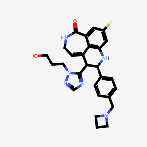 O=C1NCC=C2c3c(cc(F)cc31)NC(c1ccc(CN3CCC3)cc1)C2c1ncnn1CCCO